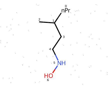 CCCC(C)CCNO